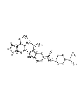 COc1cc(-c2[nH]c3ccc(C(=O)NC4CCN(C(C)C)CC4)cc3c2C(C)C)cn2ncnc12